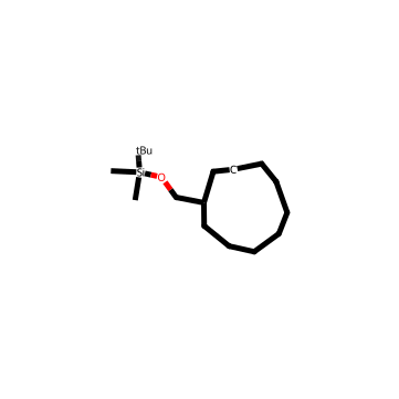 CC(C)(C)[Si](C)(C)OCC1CCCCCCCCC1